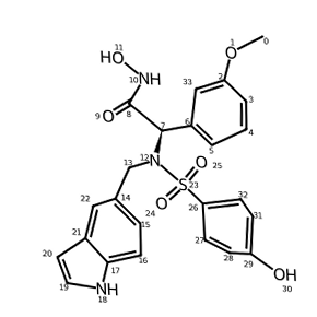 COc1cccc([C@H](C(=O)NO)N(Cc2ccc3[nH]ccc3c2)S(=O)(=O)c2ccc(O)cc2)c1